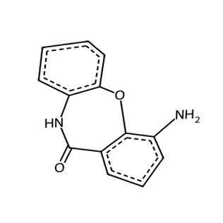 Nc1cccc2c1Oc1ccccc1NC2=O